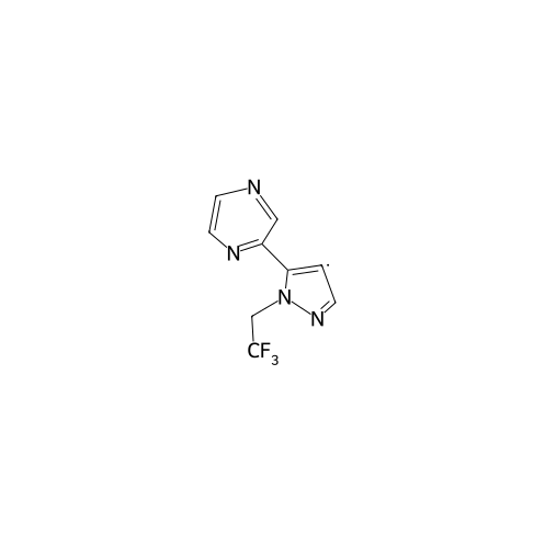 FC(F)(F)Cn1nc[c]c1-c1cnccn1